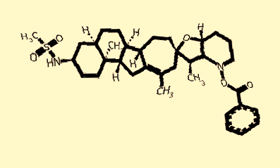 CC1=C2C[C@H]3[C@@H](CC[C@@H]4C[C@H](NS(C)(=O)=O)CC[C@@]43C)[C@@H]2CC[C@@]2(C1)O[C@@H]1CCCN(OC(=O)c3ccccc3)C1[C@H]2C